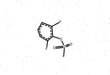 CS(=O)(=O)Oc1c(F)cccc1F